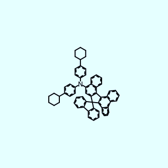 c1ccc2c(c1)-c1ccccc1C21c2cc(N(c3ccc(C4CCCCC4)cc3)c3ccc(C4CCCCC4)cc3)c3ccccc3c2-c2c1c1ccccc1c1ccccc21